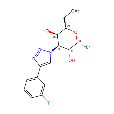 CC(=O)OC[C@H]1O[C@H](Br)[C@H](O)[C@@H](n2cc(-c3cccc(F)c3)nn2)[C@H]1O